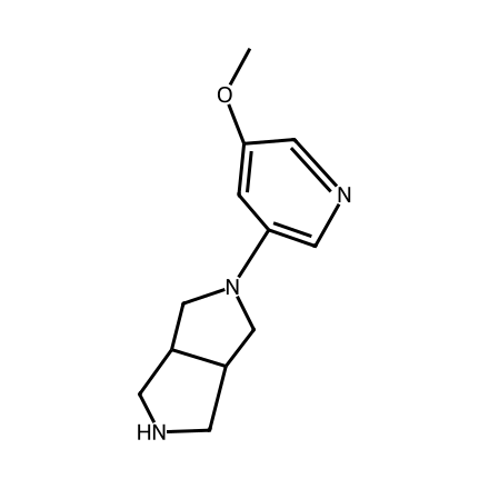 COc1cncc(N2CC3CNCC3C2)c1